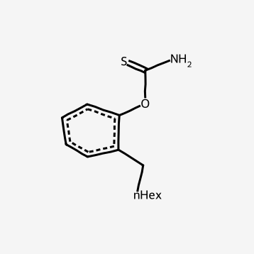 CCCCCCCc1ccccc1OC(N)=S